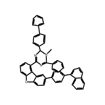 CN1C(c2ccccc2)=NC(c2cccc3oc4ccc(-c5ccc(-c6cccc7ccccc67)cc5)cc4c23)=NC1c1ccc(-c2ccccc2)cc1